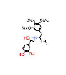 COc1cc(CC(C)NCC(O)c2ccc(O)c(O)c2)cc(OC)c1OC